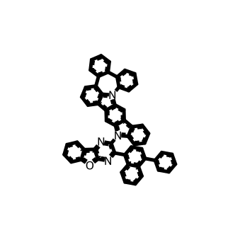 c1ccc(-c2ccc(-c3nc4oc5ccccc5c4nc3-n3c4ccccc4c4cc5c(cc43)c3cccc4c3n5-c3ccccc3-c3ccccc3-4)c3ccccc23)cc1